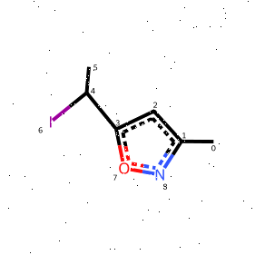 Cc1cc(C(C)I)on1